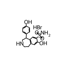 Br.NS(=O)(=O)c1cc2c(cc1O)CCNCC2c1ccc(O)cc1